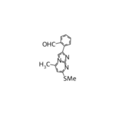 CSc1cc(C)n2cc(-c3ccccc3C=O)nc2n1